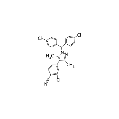 Cc1nn(C(c2ccc(Cl)cc2)c2ccc(Cl)cc2)c(C)c1-c1ccc(C#N)c(Cl)c1